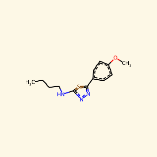 CCCCNc1nnc(-c2ccc(OC)cc2)s1